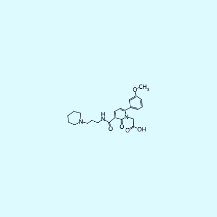 COc1cccc(-c2ccc(C(=O)NCCCN3CCCCC3)c(=O)n2CC(=O)O)c1